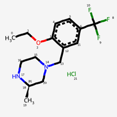 CCOc1ccc(C(F)(F)F)cc1CN1CCN[C@H](C)C1.Cl